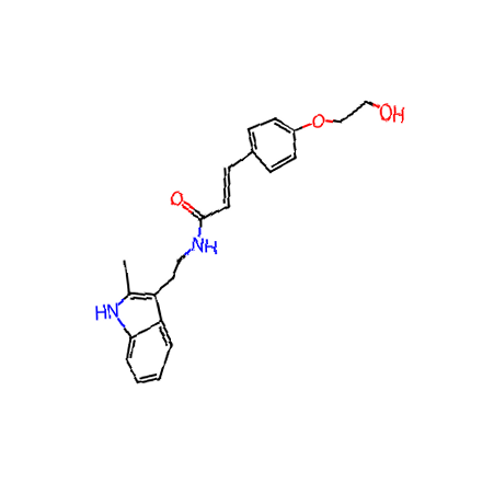 Cc1[nH]c2ccccc2c1CCNC(=O)/C=C/c1ccc(OCCO)cc1